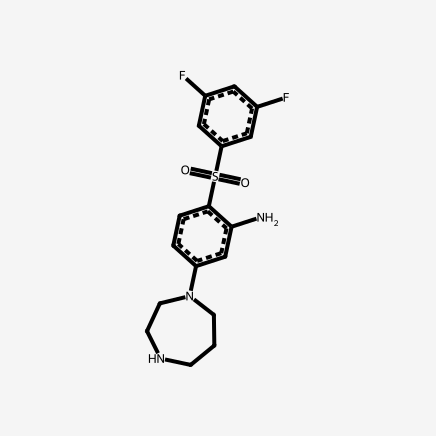 Nc1cc(N2CCCNCC2)ccc1S(=O)(=O)c1cc(F)cc(F)c1